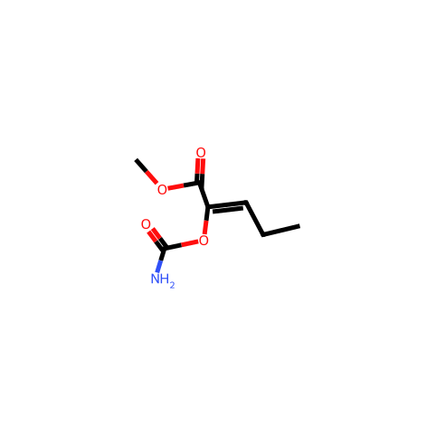 CCC=C(OC(N)=O)C(=O)OC